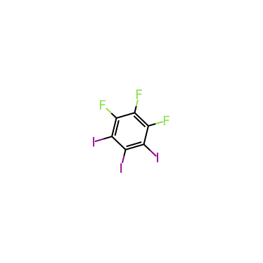 Fc1c(F)c(I)c(I)c(I)c1F